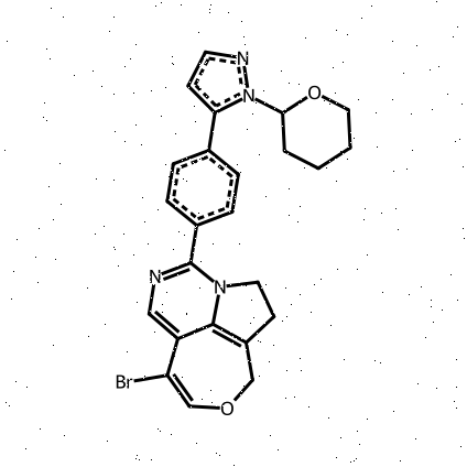 BrC1=COCC2=C3C1=CN=C(c1ccc(-c4ccnn4C4CCCCO4)cc1)N3CC2